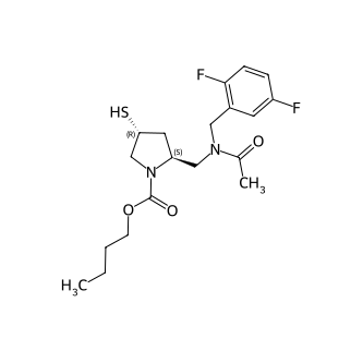 CCCCOC(=O)N1C[C@H](S)C[C@H]1CN(Cc1cc(F)ccc1F)C(C)=O